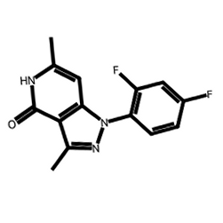 Cc1cc2c(c(C)nn2-c2ccc(F)cc2F)c(=O)[nH]1